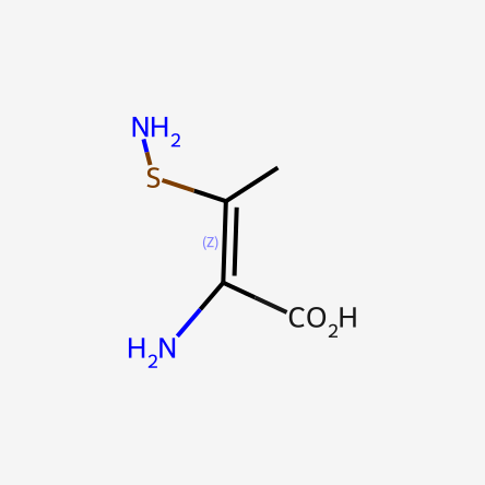 C/C(SN)=C(/N)C(=O)O